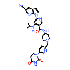 CC(C)Nc1cc(-n2ccc3cc(C#N)cnc32)ncc1C(=O)NC1CCN(Cc2ccc(N3CCC(=O)NC3=O)cn2)CC1